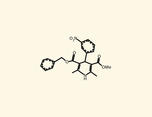 COC(=O)C1=C(C)NC(C)=C(C(=O)OCc2ccccc2)C1c1cccc([N+](=O)[O-])c1